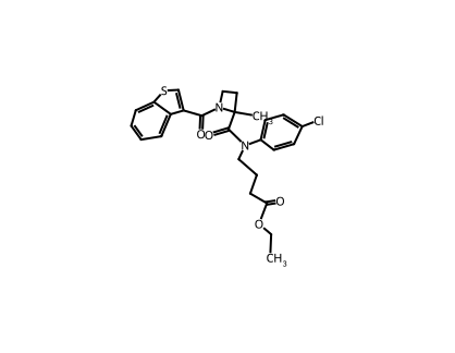 CCOC(=O)CCCN(C(=O)C1(C)CCN1C(=O)c1csc2ccccc12)c1ccc(Cl)cc1